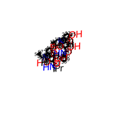 CC(C)NC(=O)C1=C(O)[C@@H]2Oc3c(OC4CC4CN4CC[C@]56c7c8ccc(O)c7O[C@H]5C(O)=C(C(=O)Nc5ccccc5)C[C@@]6(O)[C@H]4C8)ccc4c3[C@@]23CCN(CC2CC2)[C@H](C4)[C@]3(O)C1